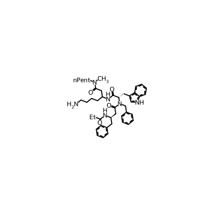 CCCCCN(C)C(=O)CC(CCCCN)NC(=O)[C@H](Cc1c[nH]c2ccccc12)N(Cc1ccccc1)C(=O)C[C@@H](Cc1ccccc1)NC(=O)CC